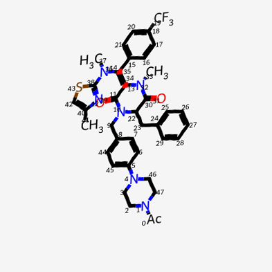 CC(=O)N1CCN(c2ccc(CN(C(=O)C=Cc3ccc(C(F)(F)F)cc3)C(Cc3ccccc3)C(=O)N(C)CCN(C)c3nc(C)cs3)cc2)CC1